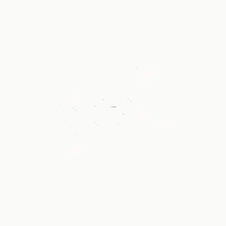 C=C(C)C(=O)NCCCN(Cc1ccccc1C1BCC(C)(C)CC1)Cc1c2ccccc2c(CN(CCOCCO)Cc2ccccc2C2BCC(C)(C)CC2)c2ccccc12